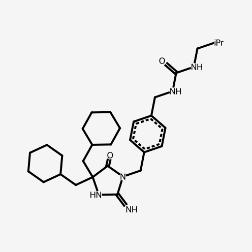 CC(C)CNC(=O)NCc1ccc(CN2C(=N)NC(CC3CCCCC3)(CC3CCCCC3)C2=O)cc1